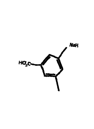 Cc1cc(C)cc(C(=O)O)c1.[NaH]